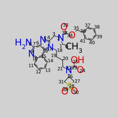 CCN(Cc1nc2c(N)nc3ccccc3c2n1CCCCN(C(=O)O)C1CS(=O)(=O)C1)C(=O)OCc1ccccc1